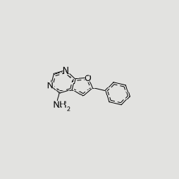 Nc1ncnc2oc(-c3ccccc3)cc12